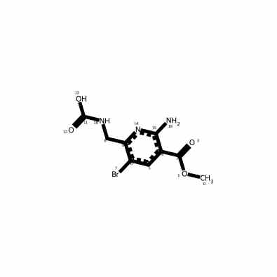 COC(=O)c1cc(Br)c(CNC(=O)O)nc1N